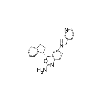 NC1=Nc2ccc(NCc3cccnc3)cc2[C@@H](C2CCc3ccccc32)O1